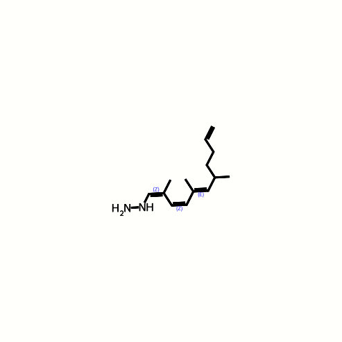 C=CCCC(C)/C=C(C)/C=C\C(C)=C/NN